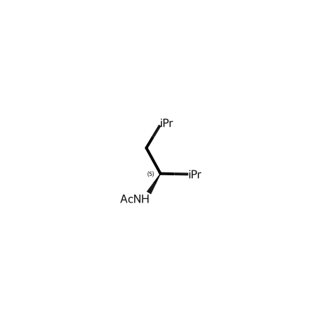 CC(=O)N[C@@H](CC(C)C)C(C)C